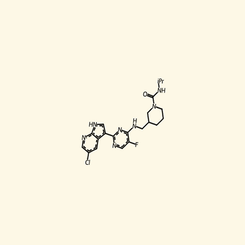 CC(C)NC(=O)N1CCCC(CNc2nc(-c3c[nH]c4ncc(Cl)cc34)ncc2F)C1